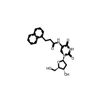 O=C(CCc1cccc2ccccc12)Nc1cn([C@H]2C[C@H](O)[C@@H](CO)O2)c(=O)[nH]c1=O